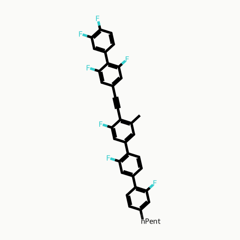 CCCCCc1ccc(-c2ccc(-c3cc(C)c(C#Cc4cc(F)c(-c5ccc(F)c(F)c5)c(F)c4)c(F)c3)c(F)c2)c(F)c1